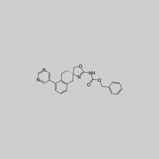 O=C(NC1=N[C@]2(CCc3c(cccc3-c3cncnc3)C2)CO1)OCc1ccccc1